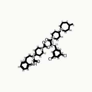 CC1CCCN(C2CCN(C(=O)[C@@H](Cc3cc(Cl)cc(Cl)c3)OC(=O)N3CCC(N4CCc5ccccc5NC4=O)CC3)CC2)CC1